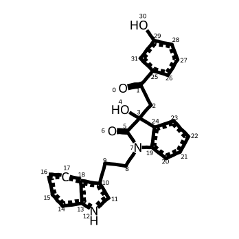 O=C(CC1(O)C(=O)N(CCc2c[nH]c3ccccc23)c2ccccc21)c1cccc(O)c1